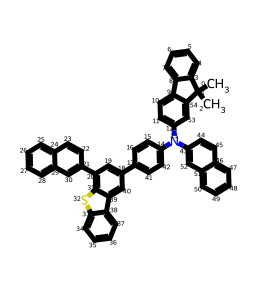 CC1(C)c2ccccc2-c2ccc(N(c3ccc(-c4cc(-c5ccc6ccccc6c5)c5sc6ccccc6c5c4)cc3)c3ccc4ccccc4c3)cc21